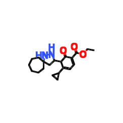 CCOC(=O)C1=CC=C(C2CC2)C(C2CC3(CCCCCC3)NN2)C1=O